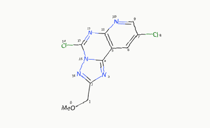 COCc1nc2c3cc(Cl)cnc3nc(Cl)n2n1